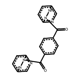 O=C(c1ccc(C(=O)N2Nc3ccc2nc3)cc1)N1Nc2ccc1nc2